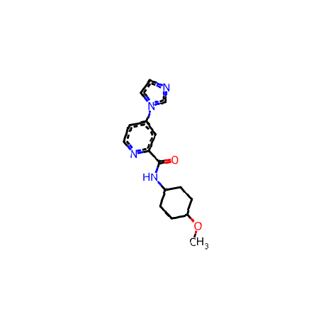 COC1CCC(NC(=O)c2cc(-n3ccnc3)ccn2)CC1